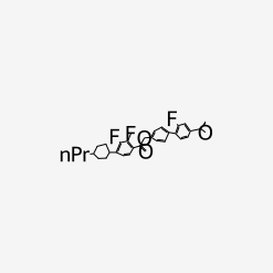 CCCC1CCC(c2ccc(C(=O)Oc3ccc(-c4ccc(C5CO5)cc4F)cc3)c(F)c2F)CC1